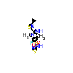 Cc1cc(S(=O)(=O)Nc2cscn2)c(F)cc1N(C)[C@@H]1CNC[C@@H]1Cc1nc(C2CC2)cs1